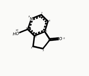 O=C1CCc2c1ccnc2O